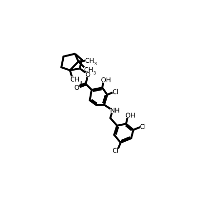 CC1(C)C2CCC1(C)C(OC(=O)c1ccc(NCc3cc(Cl)cc(Cl)c3O)c(Cl)c1O)C2